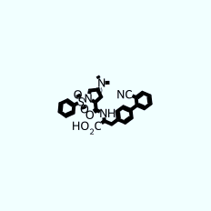 CN(C)[C@@H]1CC(C(=O)NC(Cc2ccc(-c3ccccc3C#N)cc2)C(=O)O)N(S(=O)(=O)c2ccccc2)C1